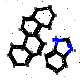 c1ccc2[nH]cnc2c1.c1ccc2c(c1)ccc1c3c(ccc12)CCCC3